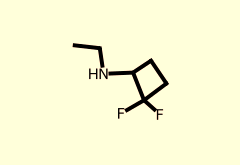 CCNC1CCC1(F)F